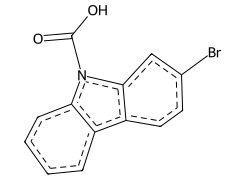 O=C(O)n1c2ccccc2c2ccc(Br)cc21